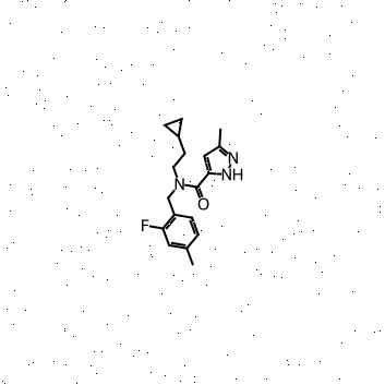 Cc1ccc(CN(CCC2CC2)C(=O)c2cc(C)n[nH]2)c(F)c1